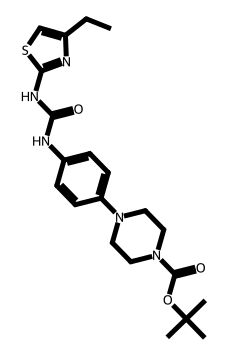 CCc1csc(NC(=O)Nc2ccc(N3CCN(C(=O)OC(C)(C)C)CC3)cc2)n1